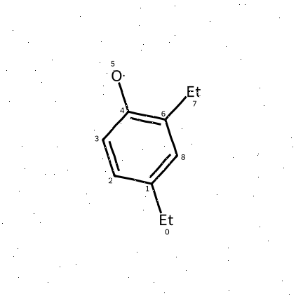 CCc1ccc([O])c(CC)c1